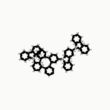 c1ccc2c(c1)-c1cc(-n3c4ccccc4c4cc(-n5c6ccccc6c6ccccc65)ccc43)ccc1-c1ccccc1-c1c-2cccc1-n1c2ccccc2c2ccccc21